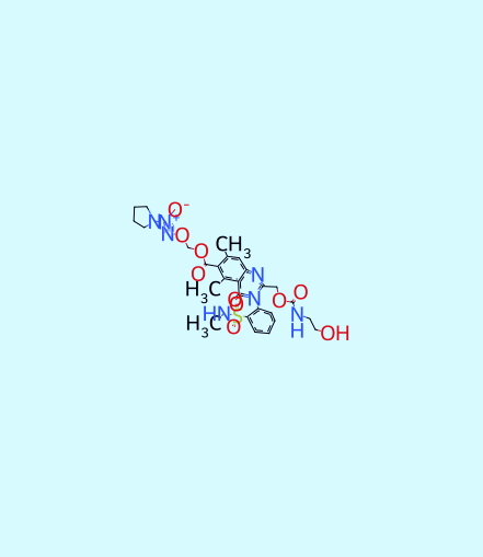 CNS(=O)(=O)c1ccccc1-n1c(COC(=O)NCCO)nc2cc(C)c(C(=O)OCO/N=[N+](\[O-])N3CCCC3)c(C)c2c1=O